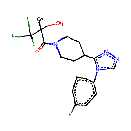 C[C@@](O)(C(=O)N1CCC(c2nncn2-c2ccc(F)cc2)CC1)C(F)(F)F